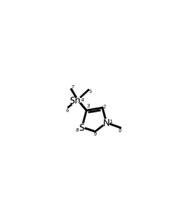 CN1C=[C]([Sn]([CH3])([CH3])[CH3])SC1